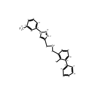 Cc1c(COCc2cn(-c3cccc(C(F)(F)F)c3)nn2)cccc1-c1ccccc1